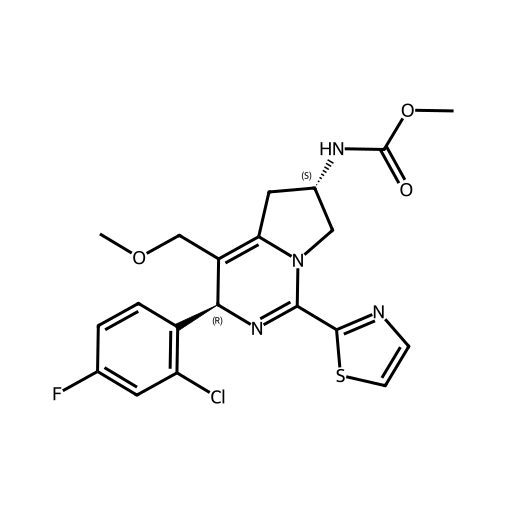 COCC1=C2C[C@H](NC(=O)OC)CN2C(c2nccs2)=N[C@H]1c1ccc(F)cc1Cl